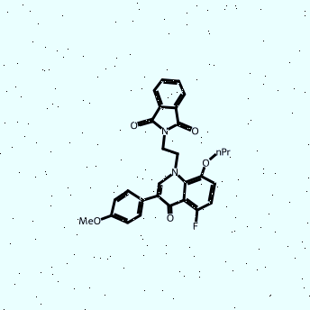 CCCOc1ccc(F)c2c(=O)c(-c3ccc(OC)cc3)cn(CCN3C(=O)c4ccccc4C3=O)c12